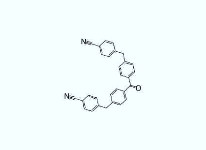 N#Cc1ccc(Cc2ccc(C(=O)c3ccc(Cc4ccc(C#N)cc4)cc3)cc2)cc1